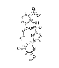 C=CCOc1cccc([N+](=O)[O-])c1NS(=O)(=O)c1ncn(-c2nc(Cl)cc(OC)n2)n1